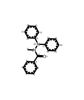 CN(C(=O)c1ccccc1)N(c1ccccc1)c1ccccc1